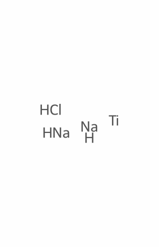 Cl.[NaH].[NaH].[Ti]